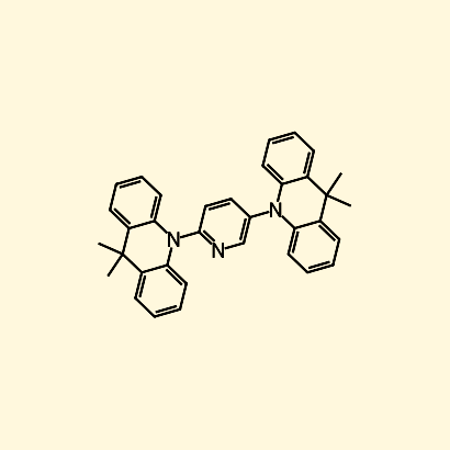 CC1(C)c2ccccc2N(c2ccc(N3c4ccccc4C(C)(C)c4ccccc43)nc2)c2ccccc21